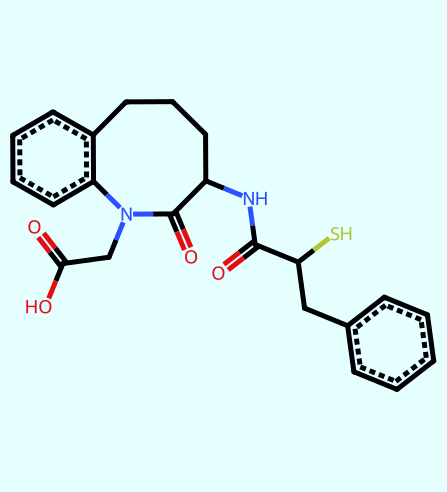 O=C(O)CN1C(=O)C(NC(=O)C(S)Cc2ccccc2)CCCc2ccccc21